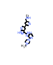 CCNCc1cncc(-c2cnc3[nH]nc(-c4nc5c(N6CCN(C)CC6)nccc5[nH]4)c3c2)c1